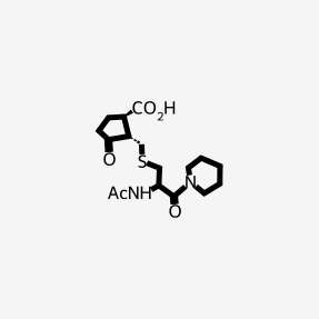 CC(=O)NC(CSC[C@@H]1C(=O)CC[C@H]1C(=O)O)C(=O)N1CCCCC1